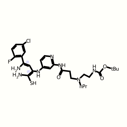 CCCN(CCNC(=O)OC(C)(C)C)CCC(=O)Nc1cc(NC(/C=C(\N)c2cc(Cl)ccc2F)=C(/N)S)ccn1